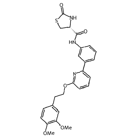 COc1ccc(CCOc2cccc(-c3cccc(NC(=O)[C@@H]4CSC(=O)N4)c3)n2)cc1OC